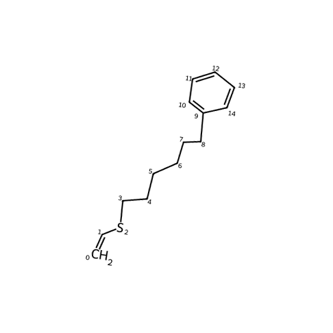 C=CSCCCCCCc1ccccc1